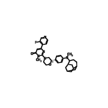 CN(c1ccc([C@H]2CN(c3nc(-c4ccncc4F)cc(=O)n3C)CCO2)cc1)C1CCC2CC3CC2CC1C3